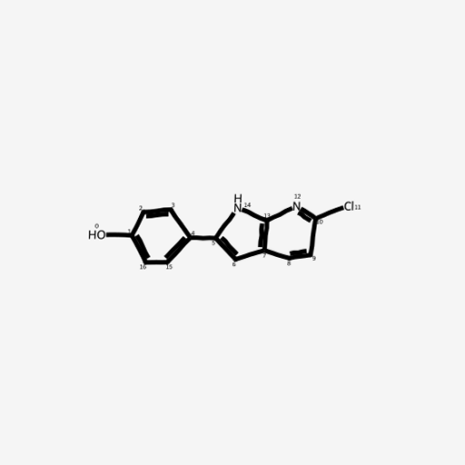 Oc1ccc(-c2cc3ccc(Cl)nc3[nH]2)cc1